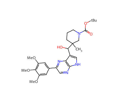 COc1cc(-c2cnc3[nH]cc(C(O)C4(C)CCCN(C(=O)OC(C)(C)C)C4)c3n2)cc(OC)c1OC